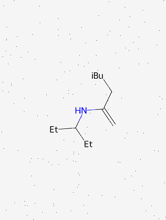 C=C(CC(C)CC)NC(CC)CC